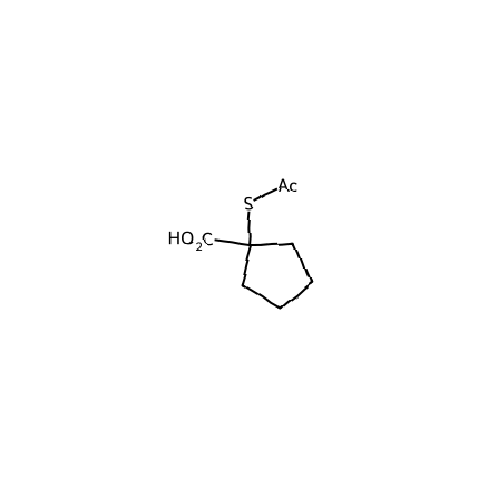 CC(=O)SC1(C(=O)O)CCCC1